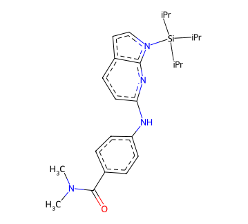 CC(C)[Si](C(C)C)(C(C)C)n1ccc2ccc(Nc3ccc(C(=O)N(C)C)cc3)nc21